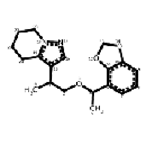 CC(COC(C)c1cccc2c1OCO2)c1cnn2c1CCCC2